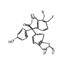 O=C1Nc2c(ccc(F)c2F)C1(c1ccc(O)cc1)c1ccc2[nH]c(=O)oc2c1